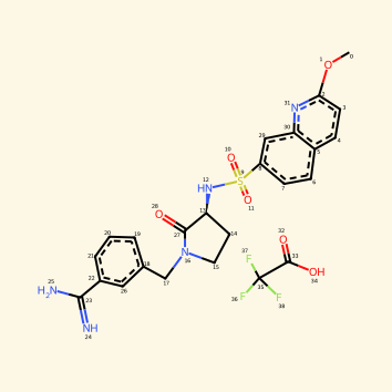 COc1ccc2ccc(S(=O)(=O)N[C@H]3CCN(Cc4cccc(C(=N)N)c4)C3=O)cc2n1.O=C(O)C(F)(F)F